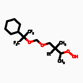 CCC(C)(COCOC(C1CCCCC1)(C(F)(F)F)C(F)(F)F)C(C)OO